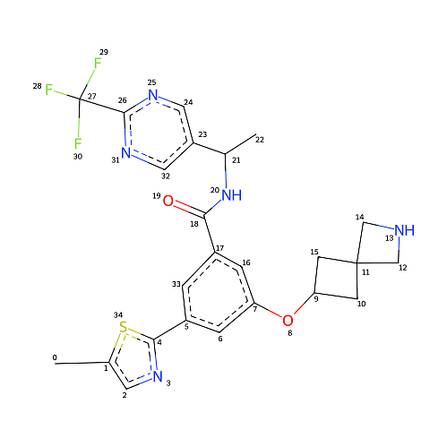 Cc1cnc(-c2cc(OC3CC4(CNC4)C3)cc(C(=O)NC(C)c3cnc(C(F)(F)F)nc3)c2)s1